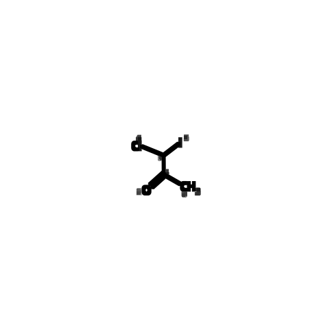 CC(=O)C(Cl)I